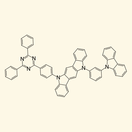 c1ccc(-c2nc(-c3ccccc3)nc(-c3ccc(-n4c5ccccc5c5cc6c(cc54)c4ccccc4n6-c4cccc(-n5c6ccccc6c6ccccc65)c4)cc3)n2)cc1